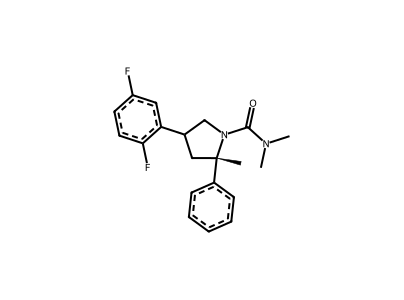 CN(C)C(=O)N1CC(c2cc(F)ccc2F)C[C@@]1(C)c1ccccc1